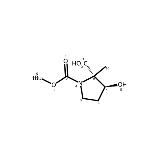 CC(C)(C)OC(=O)N1CC[C@H](O)[C@@]1(C)C(=O)O